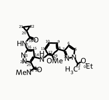 CCOC(C)n1ccc(-c2cccc(Nc3cc(NC(=O)C4CC4)nnc3C(=O)NC)c2OC)n1